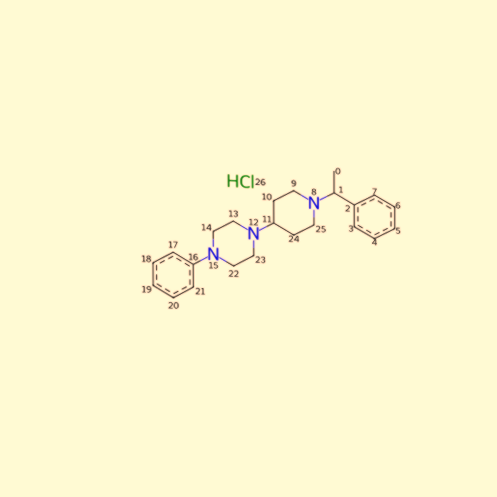 CC(c1ccccc1)N1CCC(N2CCN(c3ccccc3)CC2)CC1.Cl